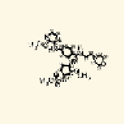 COc1cc(NS(C)(=O)=O)ccc1-n1nc(NCCN2CCOCC2)c2cnc(Nc3nccnc3OC)cc21